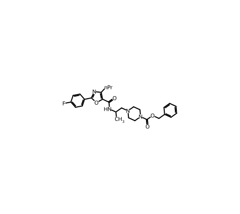 CCCc1nc(-c2ccc(F)cc2)oc1C(=O)NC(C)CN1CCN(C(=O)OCc2ccccc2)CC1